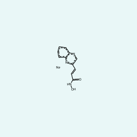 O=C(C=Cc1cnc2ccccc2n1)NO.[Na]